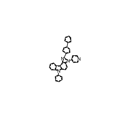 c1ccc(-c2ccc(-c3nc4c5c6ccccc6n(-c6ccccc6)c5ccc4n3-c3ccncc3)cc2)cc1